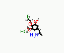 COc1cc(CC(C)N)cc(OC)c1OCCF.Cl